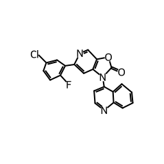 O=c1oc2cnc(-c3cc(Cl)ccc3F)cc2n1-c1ccnc2ccccc12